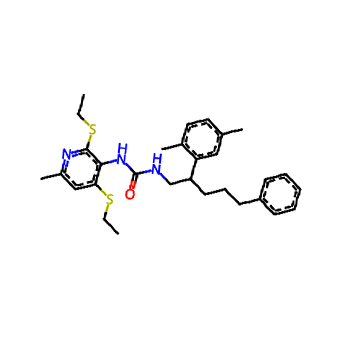 CCSc1cc(C)nc(SCC)c1NC(=O)NCC(CCCc1ccccc1)c1cc(C)ccc1C